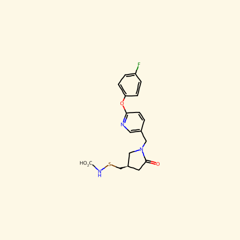 O=C(O)NSC[C@@H]1CC(=O)N(Cc2ccc(Oc3ccc(F)cc3)nc2)C1